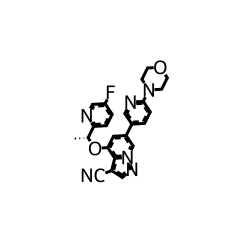 C[C@@H](Oc1cc(-c2ccc(N3CCOCC3)nc2)cn2ncc(C#N)c12)c1ccc(F)cn1